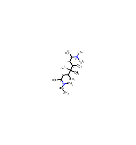 BBN(C)C(C)CC(C)C(C)(C(C)CCC)C(C)CC(C)N(C)C(C)(C)C